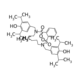 CCCCN(Cc1cc(C(C)C)c(O)c(C(C)C)c1)S(=O)(=O)c1ccccc1S(=O)(=O)N(CCCC)Cc1cc(C(C)C)c(O)c(C(C)C)c1